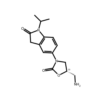 CC(C)N1C(=O)Cc2cc(N3C[C@H](CN)OC3=O)ccc21